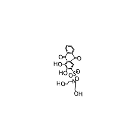 O=C1c2ccccc2C(=O)c2c1cc(S(=O)(=O)ON(CCO)CCO)c(O)c2O